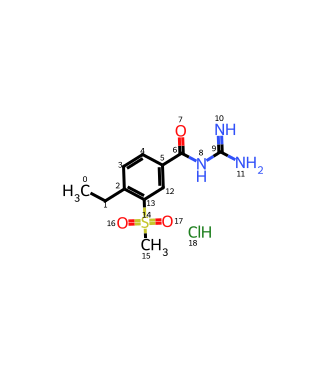 CCc1ccc(C(=O)NC(=N)N)cc1S(C)(=O)=O.Cl